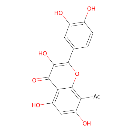 CC(=O)c1c(O)cc(O)c2c(=O)c(O)c(-c3ccc(O)c(O)c3)oc12